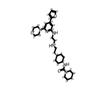 O=C(N[C@H]1CC[C@H](CCNCCNc2cc(-c3ccco3)cc(N3CCOCC3)n2)CC1)N1CCCCC1